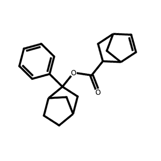 O=C(OC1(c2ccccc2)CC2CCC1C2)C1CC2C=CC1C2